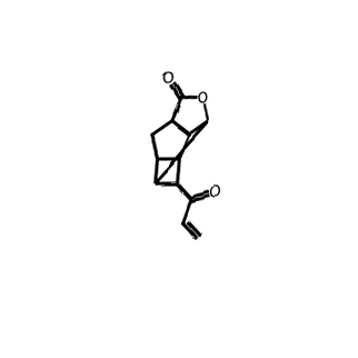 C=CC(=O)C1C2C3CC4C(=O)OC2C4C31